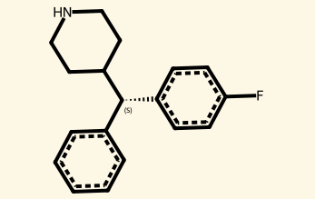 Fc1ccc([C@H](c2ccccc2)C2CCNCC2)cc1